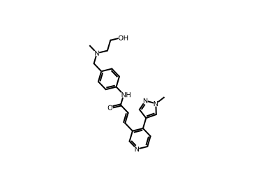 CN(CCO)Cc1ccc(NC(=O)/C=C/c2cnccc2-c2cnn(C)c2)cc1